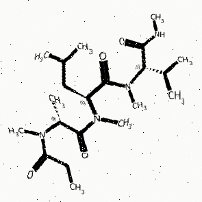 CCC(=O)N(C)[C@H](C)C(=O)N(C)[C@@H](CC(C)C)C(=O)N(C)[C@H](C(=O)NC)C(C)C